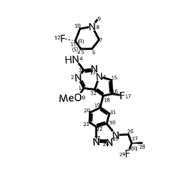 COc1nc(N[C@H]2CCN(C)C[C@H]2F)nn2cc(F)c(-c3ccc4nnn(C[C@@H](C)F)c4c3)c12